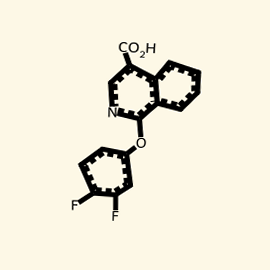 O=C(O)c1cnc(Oc2ccc(F)c(F)c2)c2ccccc12